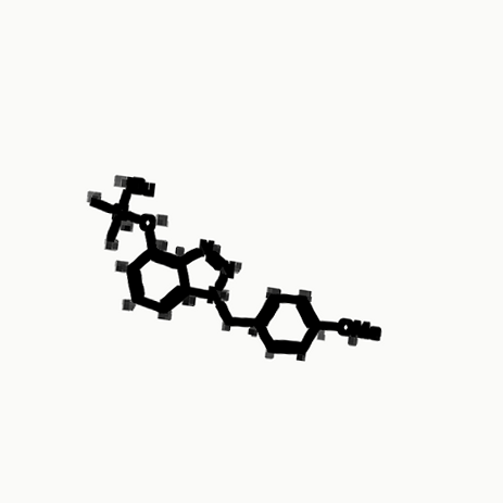 COc1ccc(Cn2nnc3c(O[Si](C)(C)C(C)(C)C)cccc32)cc1